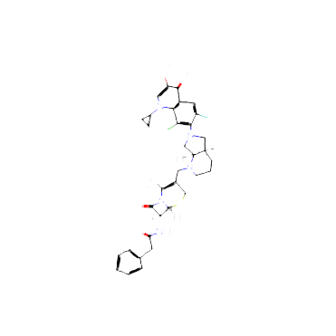 O=C(Cc1ccccc1)N[C@@H]1C(=O)N2C(C(=O)O)=C(CN3CCC[C@H]4CN(c5c(F)cc6c(=O)c(OC(=O)O)cn(C7CC7)c6c5Cl)C[C@H]43)CS[C@H]12